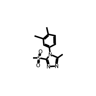 Cc1ccc(-n2c(C)nnc2S(C)(=O)=O)cc1C